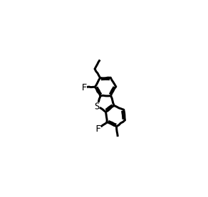 CCc1ccc2c(sc3c(F)c(C)ccc32)c1F